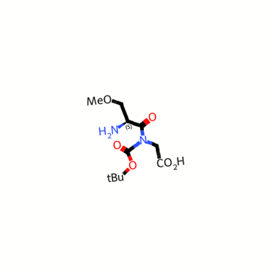 COC[C@H](N)C(=O)N(CC(=O)O)C(=O)OC(C)(C)C